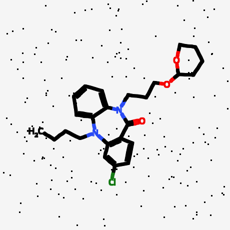 [CH2]CCCN1c2cc(Cl)ccc2C(=O)N(CCCOC2CCCCO2)c2ccccc21